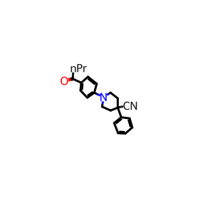 CCCC(=O)c1ccc(N2CCC(C#N)(c3ccccc3)CC2)cc1